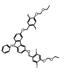 CCOCOc1cc(I)c(COc2ccc3c(c2)-c2cc(OCc4cc(I)c(OCOCC)cc4I)ccc2[SH]3c2ccccc2)cc1I